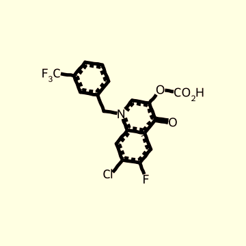 O=C(O)Oc1cn(Cc2cccc(C(F)(F)F)c2)c2cc(Cl)c(F)cc2c1=O